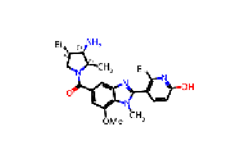 CCc1nc(O)ccc1-c1nc2cc(C(=O)N3C[C@@H](CC)[C@@H](N)[C@H]3C)cc(OC)c2n1C